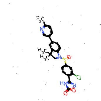 CC1(C)CN([S+]([O-])c2ccc(-c3noc(=O)[nH]3)c(Cl)c2)c2ccc(-c3ccc(C(F)(F)F)nc3)cc21